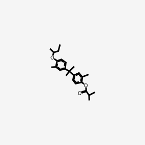 CCC(C)Oc1ccc(C(C)(C)c2ccc(OC(=O)C(C)C)c(C)c2)cc1C